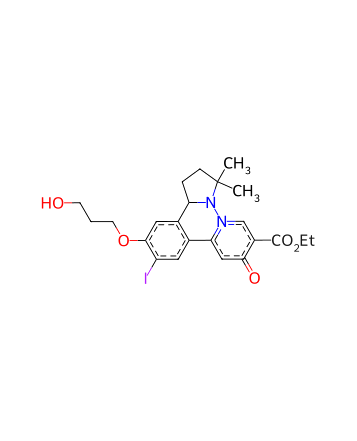 CCOC(=O)c1cn2c(cc1=O)-c1cc(I)c(OCCCO)cc1C1CCC(C)(C)N12